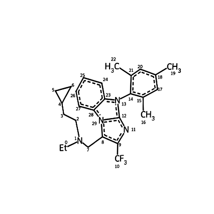 CCN(CCC1CC1)Cc1c(C(F)(F)F)nc2n(-c3c(C)cc(C)cc3C)c3ccccc3n12